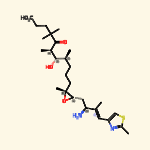 C/C(=C\c1csc(C)n1)[C@@H](N)C[C@@H]1O[C@]1(C)CCC[C@H](C)[C@H](O)[C@@H](C)C(=O)C(C)(C)CCC(=O)O